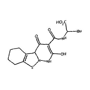 CCC(C)C(NC(=O)C1=C(O)NN2SC3=C(CCCC3)C2C1=O)C(=O)O